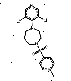 Cc1ccc(S(=O)(=O)N2CCCN(c3c(Cl)cncc3Cl)CC2)cc1